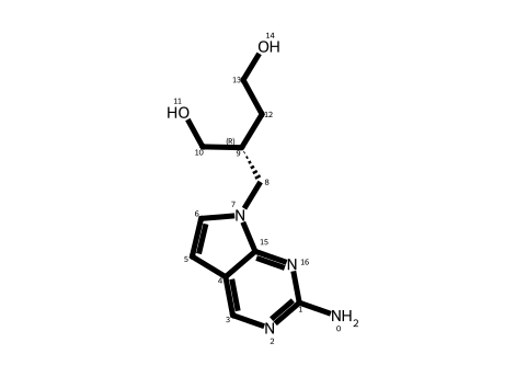 Nc1ncc2ccn(C[C@H](CO)CCO)c2n1